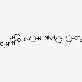 O=[N+]([O-])c1cn2c(n1)O[C@@H](COc1ccc(N3CCN(NCc4ccc(-c5ccc(C(F)(F)F)cc5)cc4)CC3)cc1)CC2